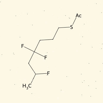 CC(=O)SCCCC(F)(F)CC(C)F